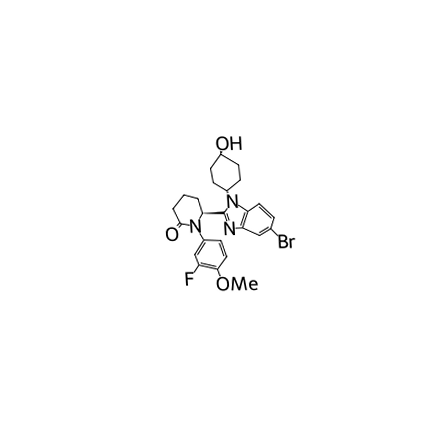 COc1ccc(N2C(=O)CCC[C@H]2c2nc3cc(Br)ccc3n2[C@H]2CC[C@H](O)CC2)cc1F